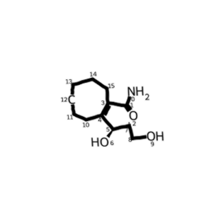 NC(=O)/C1=C(\[C@H](O)[CH]CO)CCCCCC1